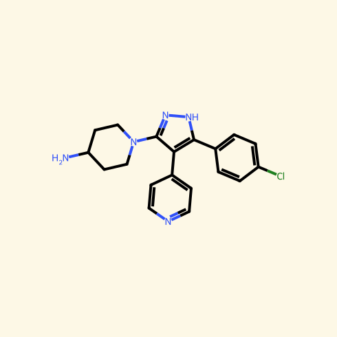 NC1CCN(c2n[nH]c(-c3ccc(Cl)cc3)c2-c2ccncc2)CC1